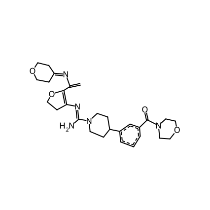 C=C(N=C1CCOCC1)C1=C(/N=C(\N)N2CCC(c3cccc(C(=O)N4CCOCC4)c3)CC2)CCO1